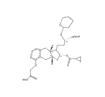 CCCCC[C@H](CCC1[C@H]2Cc3cccc(OCC(=O)OC)c3C[C@H]2C[C@H]1OC(=O)C1CC1)OC1CCCCO1